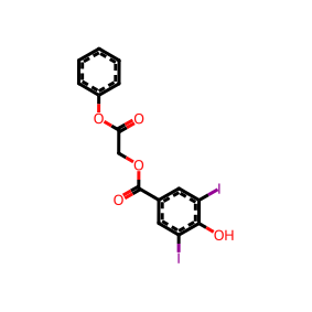 O=C(COC(=O)c1cc(I)c(O)c(I)c1)Oc1ccccc1